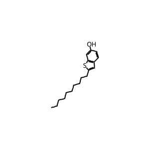 CCCCCCCCCCc1cc2ccc(O)cc2s1